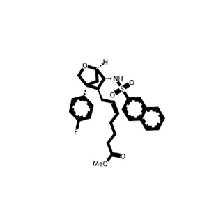 COC(=O)CCC/C=C\C[C@@H]1[C@@H](NS(=O)(=O)c2ccc3ccccc3c2)[C@H]2C[C@]1(c1ccc(F)cc1)CO2